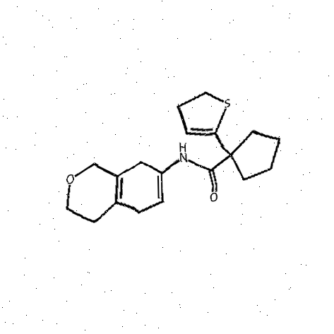 O=C(NC1=CCC2=C(COCC2)C1)C1(C2=CCCS2)CCCC1